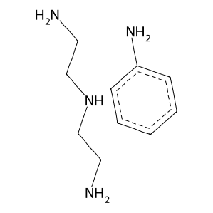 NCCNCCN.Nc1ccccc1